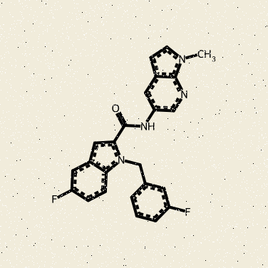 Cn1ccc2cc(NC(=O)c3cc4cc(F)ccc4n3Cc3cccc(F)c3)cnc21